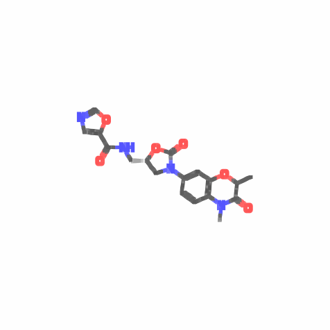 CC1Oc2cc(N3C[C@H](CNC(=O)c4cnco4)OC3=O)ccc2N(C)C1=O